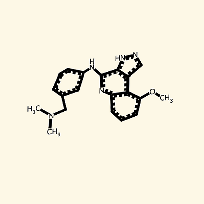 COc1cccc2nc(Nc3cccc(CN(C)C)c3)c3[nH]ncc3c12